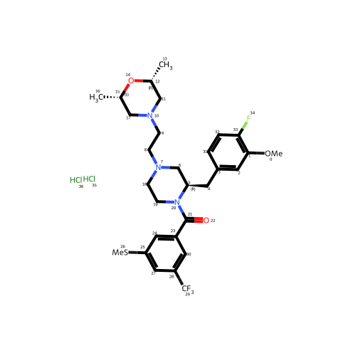 COc1cc(C[C@@H]2CN(CCN3C[C@@H](C)O[C@@H](C)C3)CCN2C(=O)c2cc(SC)cc(C(F)(F)F)c2)ccc1F.Cl.Cl